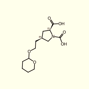 O=C(O)[C@@H]1C[C@H](CCOC2CCCCO2)CN1C(=O)O